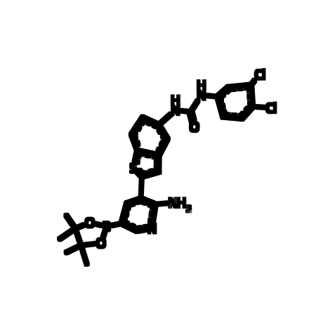 CC1(C)OB(c2cnc(N)c(-c3cc4cc(NC(=O)Nc5ccc(Cl)c(Cl)c5)ccc4s3)c2)OC1(C)C